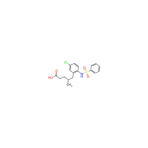 CC(CCC(=O)O)Cc1cc(Cl)ccc1NS(=O)(=O)c1ccccc1